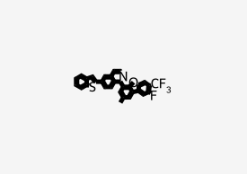 Cc1cc(-c2nccc3cc(-c4cc5ccccc5s4)ccc23)c2oc3cc(C(F)(F)F)c(F)cc3c2c1